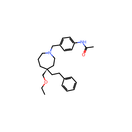 CCOC[C@@]1(CCc2ccccc2)CCCN(Cc2ccc(NC(C)=O)cc2)CC1